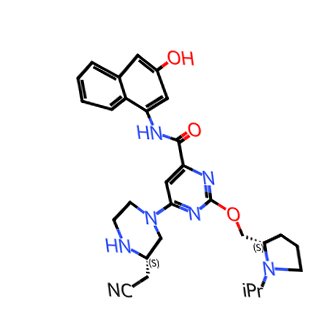 CC(C)N1CCC[C@H]1COc1nc(C(=O)Nc2cc(O)cc3ccccc23)cc(N2CCN[C@@H](CC#N)C2)n1